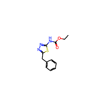 CCOC(=O)Nc1nnc(Cc2ccccc2)s1